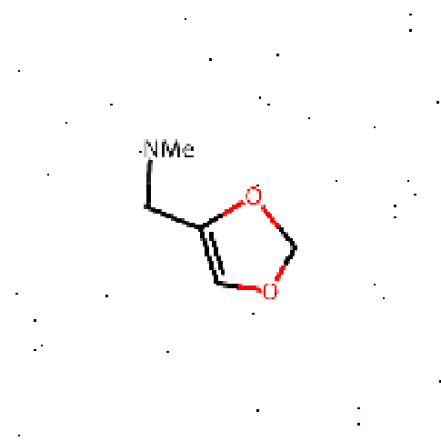 CNCC1=COCO1